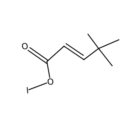 CC(C)(C)/C=C/C(=O)OI